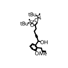 C=CCc1c(OC)cccc1C(O)C#CCCC(CO[Si](C)(C)C(C)(C)C)O[Si](C)(C)C(C)(C)C